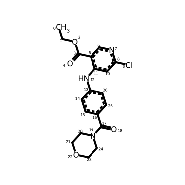 CCOC(=O)c1cnc(Cl)cc1Nc1ccc(C(=O)N2CCOCC2)cc1